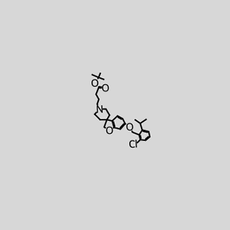 CC(C)c1cccc(Cl)c1COc1ccc2c(c1)OCC21CCN(CCCC(=O)OC(C)(C)C)CC1